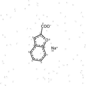 O=C([O-])c1cc2ccccc2o1.[Na+]